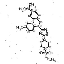 CCS(=O)(=O)N1CCN(c2nc(C(Cc3ccc(N(C)C)cc3)c3ccc(N)cc3)ns2)CC1